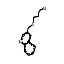 ClCCCSCc1cnc2ccccc2c1